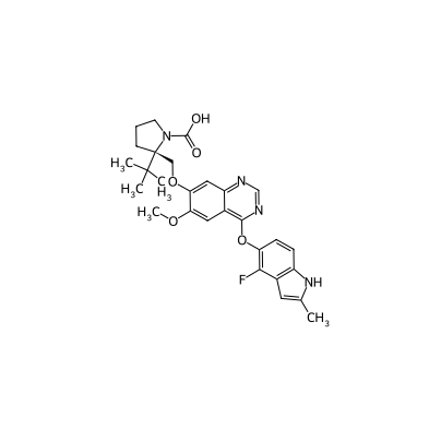 COc1cc2c(Oc3ccc4[nH]c(C)cc4c3F)ncnc2cc1OC[C@@]1(C(C)(C)C)CCCN1C(=O)O